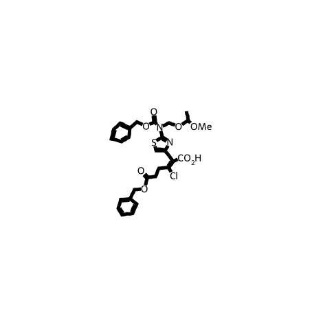 COC(C)OCN(C(=O)OCc1ccccc1)c1nc(/C(C(=O)O)=C(/Cl)CCC(=O)OCc2ccccc2)cs1